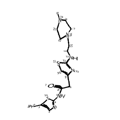 CC(C)c1cnc(NC(=O)Cc2csc(NCCN3CCN(C)CC3)n2)s1